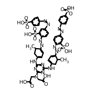 CC1CC(Nc2nc(NC3=CC=C(N=Nc4ccc(/N=N\c5ccc(S(=O)(=O)O)cc5)cc4S(=O)(=O)O)C(C)C3)nc(N(CC(=O)O)CC(=O)O)n2)=CC=C1N=Nc1ccc(N=Nc2ccc(S(=O)(=O)O)cc2)cc1S(=O)(=O)O